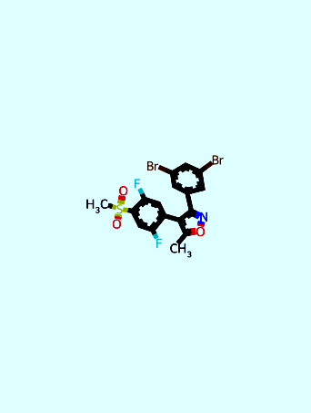 Cc1onc(-c2cc(Br)cc(Br)c2)c1-c1cc(F)c(S(C)(=O)=O)cc1F